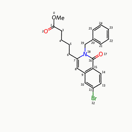 COC(=O)CCCCc1cc2cc(Br)ccc2c(=O)n1Cc1ccccc1